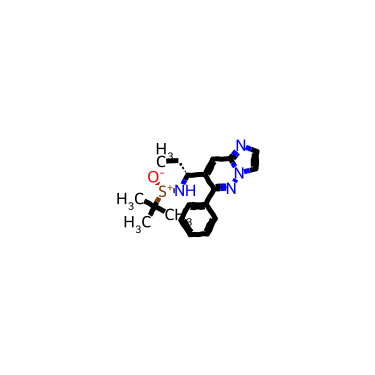 CC[C@@H](N[S@+]([O-])C(C)(C)C)c1cc2nccn2nc1-c1ccccc1